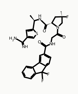 C[C@@H](NC(=O)[C@@H]1C[C@@](C)(F)CN1C(=O)CNC(=O)c1ccc2c(c1)-c1ccccc1C2(F)F)c1cc(C(=N)N)cs1